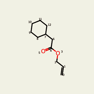 C=CCOC(=O)CC1CCCCC1